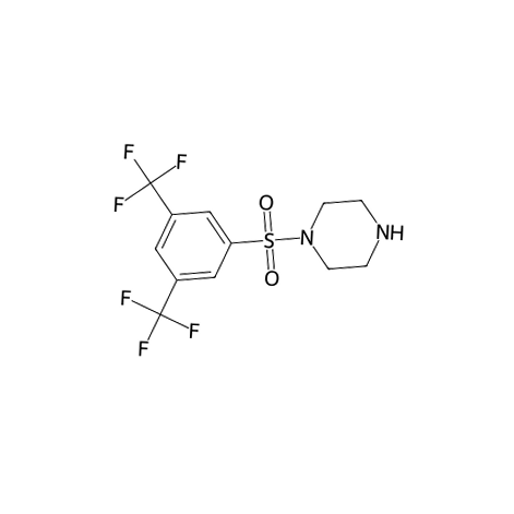 O=S(=O)(c1cc(C(F)(F)F)cc(C(F)(F)F)c1)N1CCNCC1